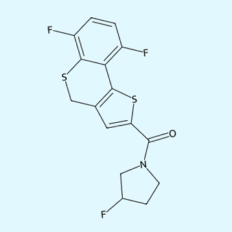 O=C(c1cc2c(s1)-c1c(F)ccc(F)c1SC2)N1CCC(F)C1